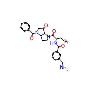 CC(C)CC(NC(=O)c1cccc(CN)c1)C(=O)N1CCC2C1C(=O)CN2C(=O)c1ccccc1